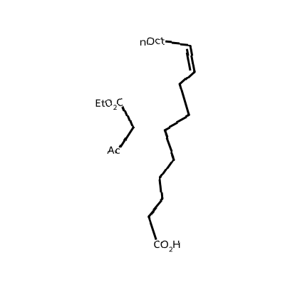 CCCCCCCC/C=C\CCCCCCCC(=O)O.CCOC(=O)CC(C)=O